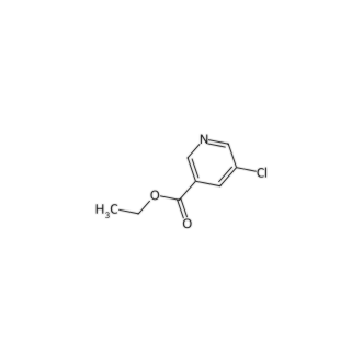 CCOC(=O)c1cncc(Cl)c1